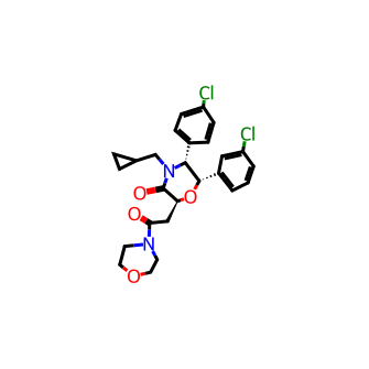 O=C(C[C@@H]1O[C@@H](c2cccc(Cl)c2)[C@@H](c2ccc(Cl)cc2)N(CC2CC2)C1=O)N1CCOCC1